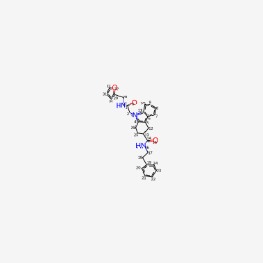 O=C(Cn1c2c(c3ccccc31)CC(C(=O)NCCc1ccccc1)CC2)NCc1ccco1